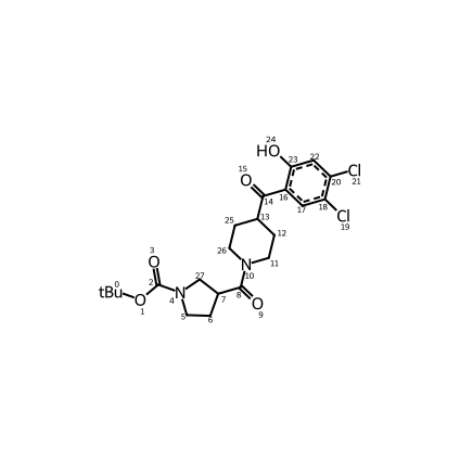 CC(C)(C)OC(=O)N1CCC(C(=O)N2CCC(C(=O)c3cc(Cl)c(Cl)cc3O)CC2)C1